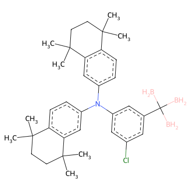 BC(B)(B)c1cc(Cl)cc(N(c2ccc3c(c2)C(C)(C)CCC3(C)C)c2ccc3c(c2)C(C)(C)CCC3(C)C)c1